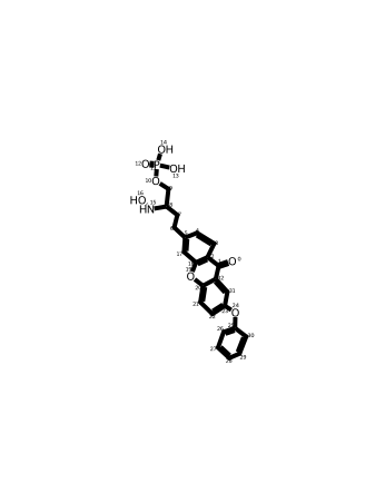 O=c1c2ccc(CCC(COP(=O)(O)O)NO)cc2oc2ccc(Oc3ccccc3)cc12